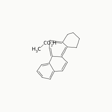 CC(=O)O.c1ccc2c(c1)ccc1c3c(ccc12)CCCC3